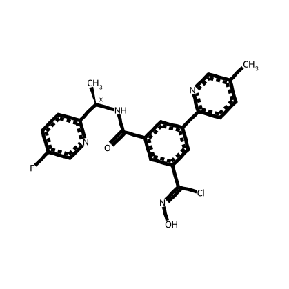 Cc1ccc(-c2cc(C(=O)N[C@H](C)c3ccc(F)cn3)cc(C(Cl)=NO)c2)nc1